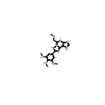 COCc1nc2nc[nH]c2c2nc(-c3cc(OC)c(OC)c(OC)c3)nn12